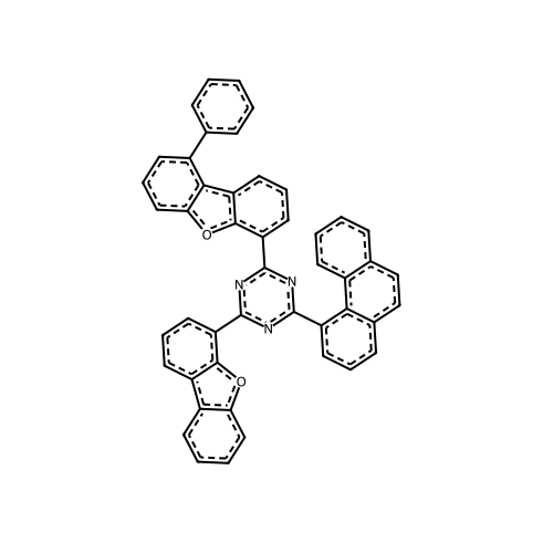 c1ccc(-c2cccc3oc4c(-c5nc(-c6cccc7c6oc6ccccc67)nc(-c6cccc7ccc8ccccc8c67)n5)cccc4c23)cc1